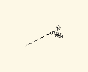 CCCCCCCCCCCCCCCCCCOCC(O)CC(COP(=O)([O-])O)[N+]1(C)CCCC1